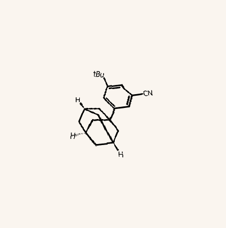 CC(C)(C)c1cc(C#N)cc(C23C[C@H]4C[C@@H](C2)C[C@@H](C3)C4)c1